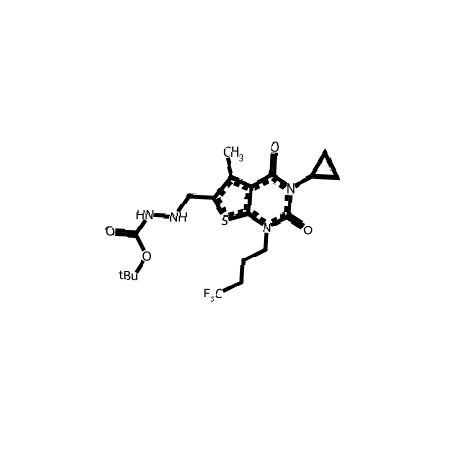 Cc1c(CNNC(=O)OC(C)(C)C)sc2c1c(=O)n(C1CC1)c(=O)n2CCCC(F)(F)F